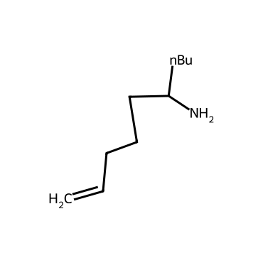 C=CCCCC(N)CCCC